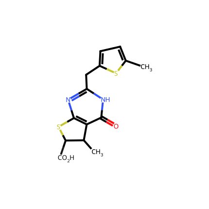 Cc1ccc(Cc2nc3c(c(=O)[nH]2)C(C)C(C(=O)O)S3)s1